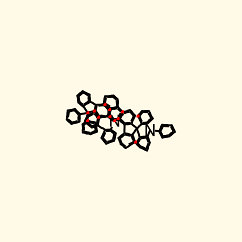 c1ccc(N2c3ccccc3C3(c4ccccc4-c4c(N(c5ccc6c(c5)C(c5ccccc5)(c5ccccc5)c5ccccc5-6)c5ccccc5-c5ccccc5-c5cccc6ccccc56)cccc43)c3ccccc32)cc1